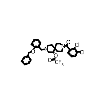 O=C(c1cccc(Cl)c1Cl)N1CCC2(CCN(Cc3ccccc3OCc3ccccc3)CC2OC(=O)C(F)(F)F)CC1